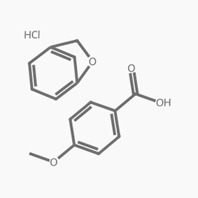 COc1ccc(C(=O)O)cc1.Cl.c1cc2cc(c1)OC2